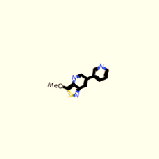 COc1snc2cc(-c3cccnc3)cnc12